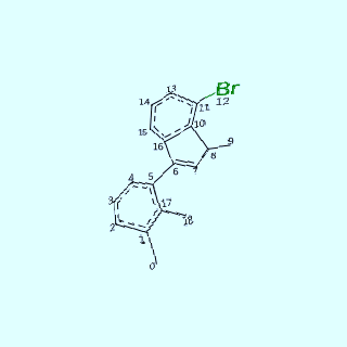 Cc1cccc(C2=CC(C)c3c(Br)cccc32)c1C